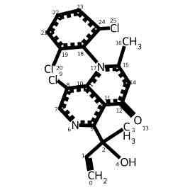 C=CC(C)(O)c1ncc(Cl)c2c1c(=O)cc(C)n2-c1c(Cl)cccc1Cl